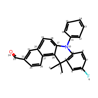 CC1(C)c2cc(F)ccc2N(c2ccccc2)c2ccc3cc(C=O)ccc3c21